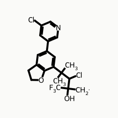 [CH2]C(O)(C(Cl)C(C)(C)c1cc(-c2cncc(Cl)c2)cc2c1OCC2)C(F)(F)F